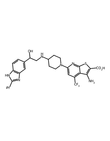 CC(C)c1nc2cc(C(O)CNC3CCN(c4cc(C(F)(F)F)c5c(N)c(C(=O)O)sc5n4)CC3)ccc2[nH]1